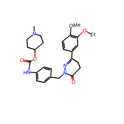 CCOc1cc(C2=NN(Cc3ccc(NC(=O)OC4CCN(C)CC4)cc3)C(=O)CC2)ccc1OC